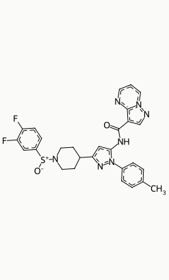 Cc1ccc(-n2nc(C3CCN([S+]([O-])c4ccc(F)c(F)c4)CC3)cc2NC(=O)c2cnn3cccnc23)cc1